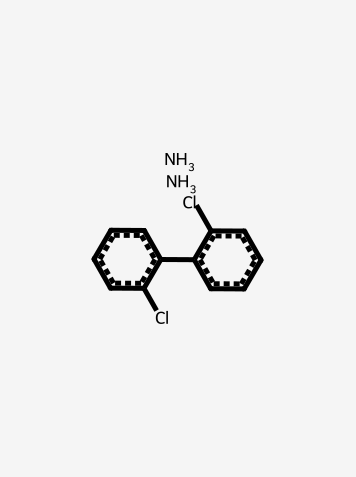 Clc1ccccc1-c1ccccc1Cl.N.N